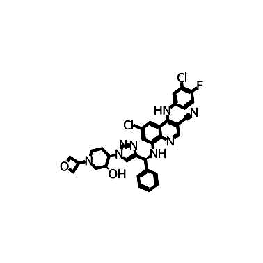 N#Cc1cnc2c(N[C@@H](c3ccccc3)c3cn([C@@H]4CCN(C5COC5)C[C@H]4O)nn3)cc(Cl)cc2c1Nc1ccc(F)c(Cl)c1